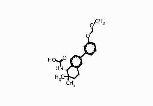 COCOc1cccc(-c2ccc3c(c2)CCC(C)(C)[C@@H]3NC(=O)O)c1